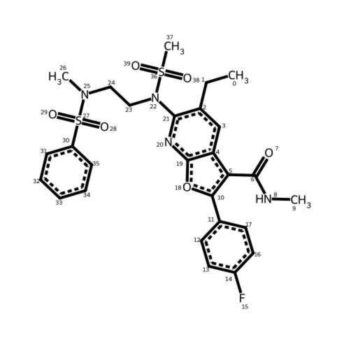 CCc1cc2c(C(=O)NC)c(-c3ccc(F)cc3)oc2nc1N(CCN(C)S(=O)(=O)c1ccccc1)S(C)(=O)=O